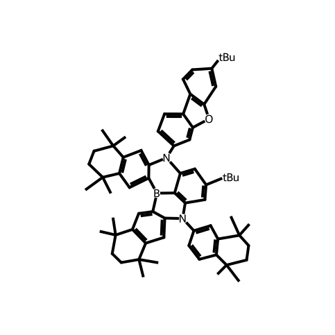 CC(C)(C)c1cc2c3c(c1)N(c1ccc4c(c1)oc1cc(C(C)(C)C)ccc14)c1cc4c(cc1B3c1cc3c(cc1N2c1ccc2c(c1)C(C)(C)CCC2(C)C)C(C)(C)CCC3(C)C)C(C)(C)CCC4(C)C